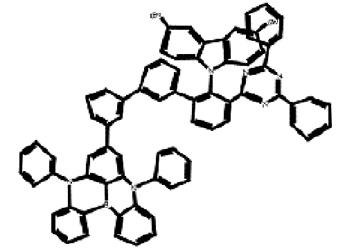 CC(C)(C)c1ccc2c(c1)c1cc(C(C)(C)C)ccc1n2-c1c(-c2cccc(-c3cccc(-c4cc5c6c(c4)N(c4ccccc4)c4ccccc4B6c4ccccc4N5c4ccccc4)c3)c2)cccc1-c1nc(-c2ccccc2)nc(-c2ccccc2)n1